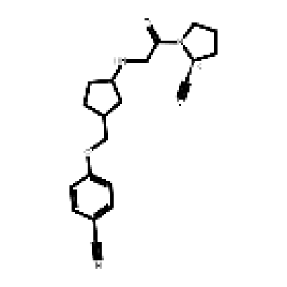 N#Cc1ccc(OCC2CCC(NCC(=O)N3CCC[C@H]3C#N)C2)cc1